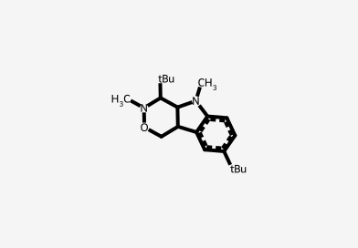 CN1OCC2c3cc(C(C)(C)C)ccc3N(C)C2C1C(C)(C)C